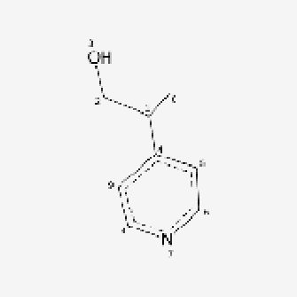 CC(CO)c1ccncc1